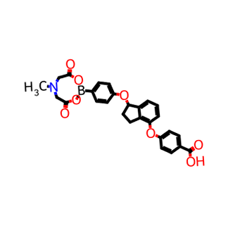 CN1CC(=O)OB(c2ccc(OC3CCc4c(Oc5ccc(C(=O)O)cc5)cccc43)cc2)OC(=O)C1